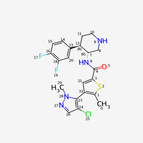 Cc1sc(C(=O)N[C@H]2CNCC[C@@H]2c2ccc(F)c(F)c2)cc1-c1c(Cl)cnn1C